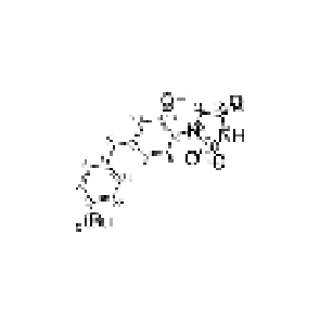 CC(C)(C)c1ccc(Cc2ccc(N3CC(=O)NS3(=O)=O)c(O)c2)cc1